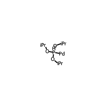 CC(C)O[PH]([Pd])(OC(C)C)OC(C)C